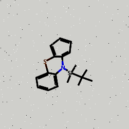 CC(C)(C)[Si](C)(C)N1c2ccccc2Sc2ccccc21